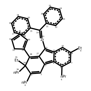 CCCC1=CC2=c3c(CCC)cc(CC)cc3=[C]([Zr]=[C](c3ccccc3)c3ccccc3)C2=C(C2=CC=CC2)C1(CC)CCC